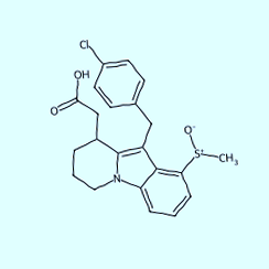 C[S+]([O-])c1cccc2c1c(Cc1ccc(Cl)cc1)c1n2CCCC1CC(=O)O